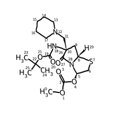 COC(=O)O[C@@H]1CS[C@H]2C[C@@](CN3CCCCC3)(NC(=O)OC(C)(C)C)C(=O)N21